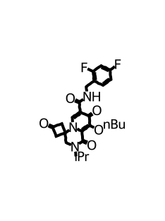 CCCCOc1c2n(cc(C(=O)NCc3ccc(F)cc3F)c1=O)C1(CC(=O)C1)CN(C(C)C)C2=O